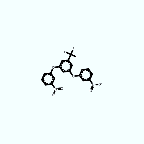 O=[N+]([O-])c1cccc(Oc2cc(Oc3cccc([N+](=O)[O-])c3)cc(C(F)(F)F)c2)c1